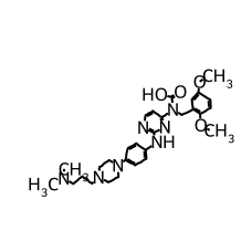 COc1ccc(OC)c(CN(C(=O)O)c2ccnc(Nc3ccc(N4CCN(CCCN(C)C)CC4)cc3)n2)c1